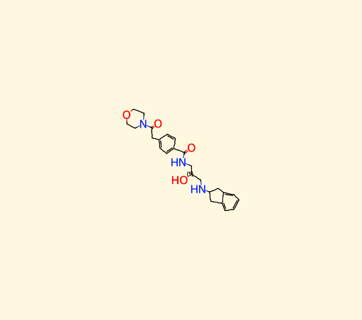 O=C(NC[C@@H](O)CNC1Cc2ccccc2C1)c1ccc(CC(=O)N2CCOCC2)cc1